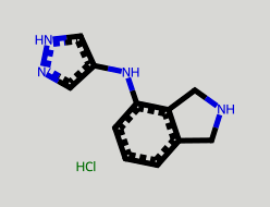 Cl.c1cc2c(c(Nc3cn[nH]c3)c1)CNC2